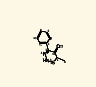 CC1SNN=C(c2[c]cccc2)C1=O